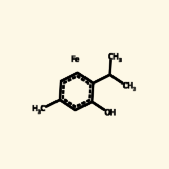 Cc1ccc(C(C)C)c(O)c1.[Fe]